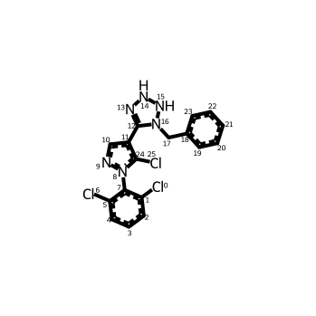 Clc1cccc(Cl)c1-n1ncc(C2=NNNN2Cc2ccccc2)c1Cl